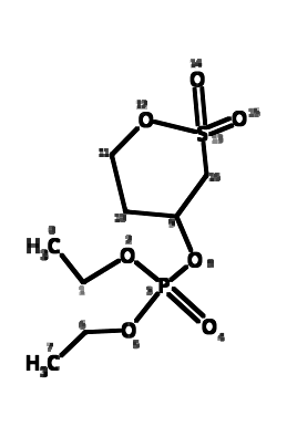 CCOP(=O)(OCC)OC1CCOS(=O)(=O)C1